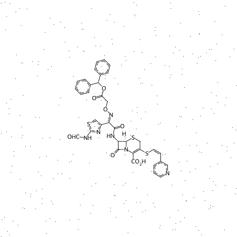 O=CNc1nc(/C(=N\OCC(=O)OC(c2ccccc2)c2ccccc2)C(=O)NC2C(=O)N3C(C(=O)O)=C(S/C=C\c4cccnc4)CS[C@H]23)cs1